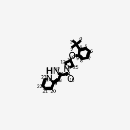 CC(C)(C)c1ccccc1OC1CN(C(=O)C(=N)/C=C2/C=CC=CN2)C1